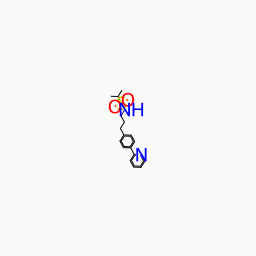 CC(C)S(=O)(=O)NCCCc1ccc(-c2ccccn2)cc1